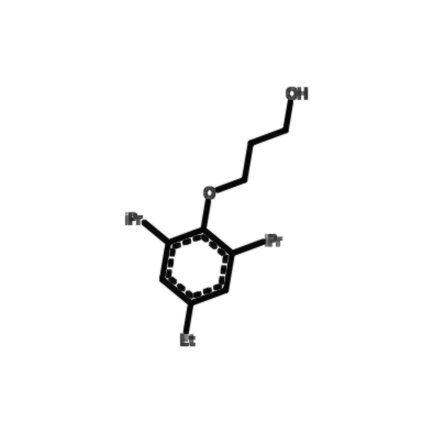 CCc1cc(C(C)C)c(OCCCO)c(C(C)C)c1